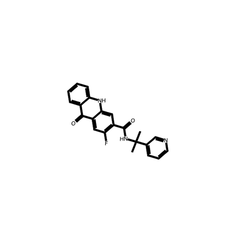 CC(C)(NC(=O)c1cc2[nH]c3ccccc3c(=O)c2cc1F)c1cccnc1